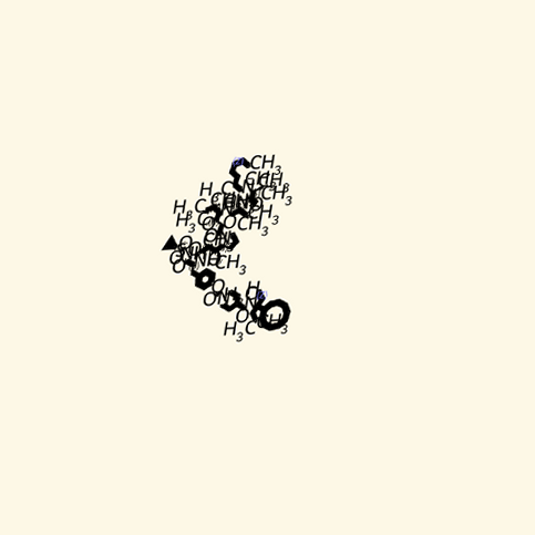 C/C=C\C(CC(C)C)(NC(=O)C1CCN(C(=O)Oc2ccc(C[C@H](NC(=O)[C@H](C)[C@@H](OC)[C@@H]3CCCN3C(=O)C[C@@H](OC)C([C@@H](C)CC)N(C)C(=O)[C@@H](NC(=O)[C@H](C(C)C)N(C)CC(C)CC/C=C\CC)C(C)C)C(=O)NS(=O)(=O)C3CC3)cc2)CC1)c1ccccccccc1